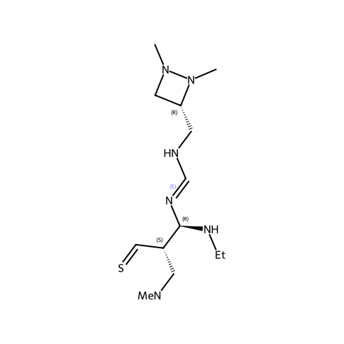 CCN[C@H](/N=C/NC[C@@H]1CN(C)N1C)[C@@H](C=S)CNC